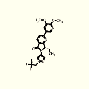 CC[C@H]1c2nc(-c3cnc(OC)c(OC)c3)ccc2C(=O)N1c1cnn(CC(F)(F)F)c1